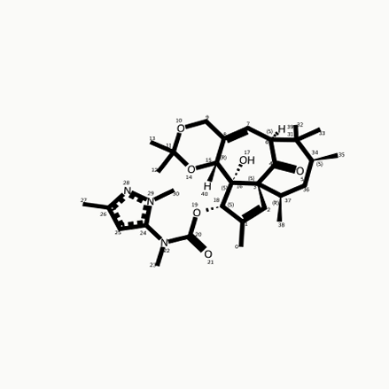 CC1=C[C@]23C(=O)[C@@H](C=C4COC(C)(C)O[C@H]4[C@]2(O)[C@H]1OC(=O)N(C)c1cc(C)nn1C)C(C)(C)[C@@H](C)C[C@H]3C